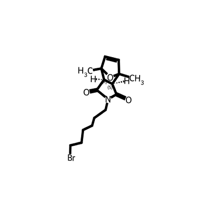 CC12C=CC(C)(O1)[C@H]1C(=O)N(CCCCCCBr)C(=O)[C@H]12